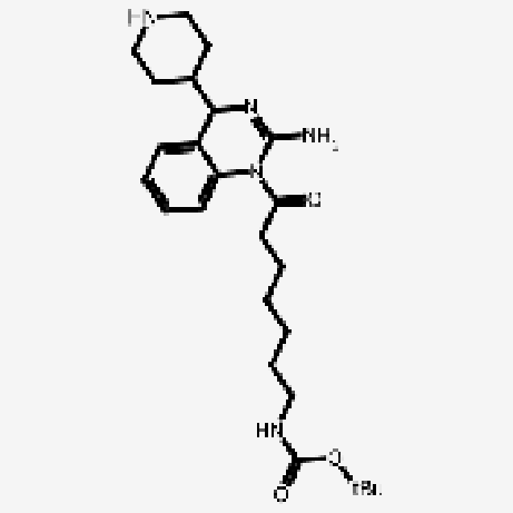 CC(C)(C)OC(=O)NCCCCCCC(=O)N1C(N)=NC(C2CCNCC2)c2ccccc21